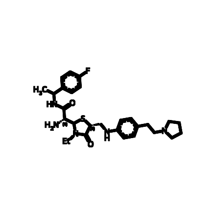 CCN1C(=O)[C@@H](CNc2ccc(CCN3CCCC3)cc2)SC1[C@H](N)C(=O)NC(C)c1ccc(F)cc1